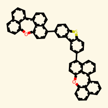 c1cc2cccc3c4cccc5c(-c6ccc7sc8ccc(-c9ccc%10oc%11cccc%12cccc(c%13cccc9c%10%13)c%12%11)cc8c7c6)ccc(oc(c1)c23)c54